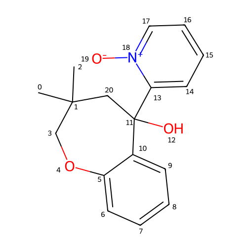 CC1(C)COc2ccccc2C(O)(c2cccc[n+]2[O-])C1